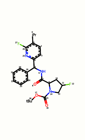 CC(C)c1ccc(C(NC(=O)C2CC(F)CN2C(=O)OC(C)(C)C)c2ccccc2)nc1F